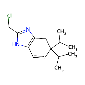 CC(C)C1(C(C)C)C=Cc2[nH]c(CCl)nc2C1